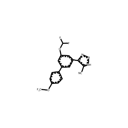 N#Cc1[nH]nnc1-c1cc(OC(F)F)cc(-c2ccc(OC(F)(F)F)cc2)c1